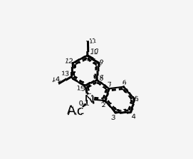 CC(=O)n1c2ccccc2c2cc(C)cc(C)c21